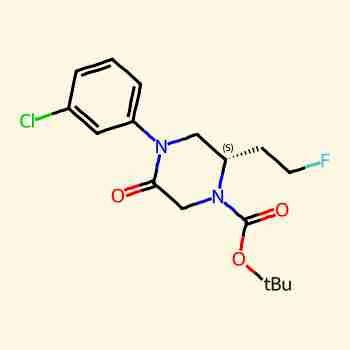 CC(C)(C)OC(=O)N1CC(=O)N(c2cccc(Cl)c2)C[C@@H]1CCF